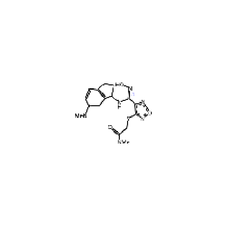 CNC(=O)CSc1nonc1/C(=N/O)NC1CCC2=C1CC(NC)C=C2